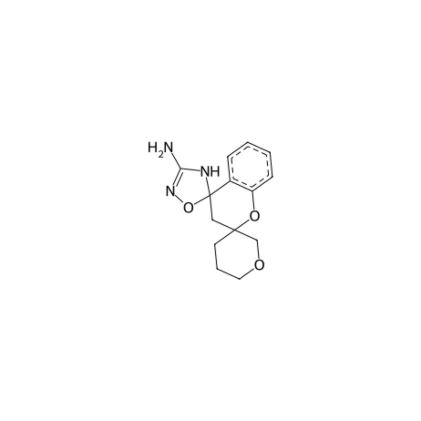 NC1=NOC2(CC3(CCCOC3)Oc3ccccc32)N1